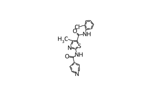 Cc1nc(NC(=O)c2ccncc2)sc1C(=O)Nc1ccccc1Cl